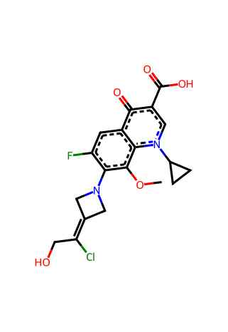 COc1c(N2CC(=C(Cl)CO)C2)c(F)cc2c(=O)c(C(=O)O)cn(C3CC3)c12